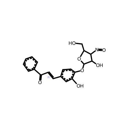 O=NC1C(CO)OC(Oc2ccc(/C=C/C(=O)c3ccccc3)cc2O)C1O